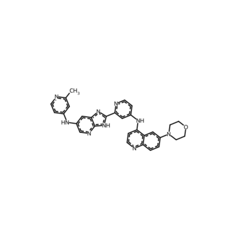 Cc1cc(Nc2cnc3[nH]c(-c4cc(Nc5ccnc6ccc(N7CCOCC7)cc56)ccn4)nc3c2)ccn1